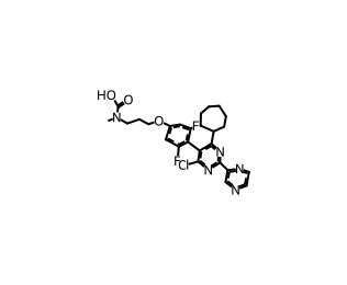 CN(CCCOc1cc(F)c(-c2c(Cl)nc(-c3cnccn3)nc2C2CCCCCC2)c(F)c1)C(=O)O